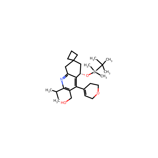 CC(C)c1nc2c(c(C3=CCOCC3)c1CO)[C@@H](O[Si](C)(C)C(C)(C)C)CC1(CCC1)C2